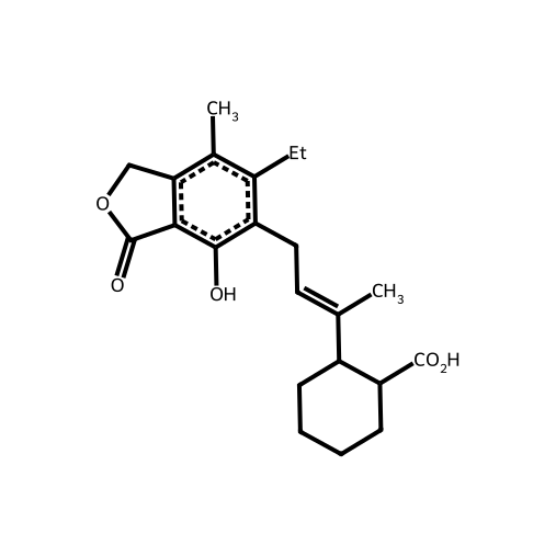 CCc1c(C)c2c(c(O)c1C/C=C(\C)C1CCCCC1C(=O)O)C(=O)OC2